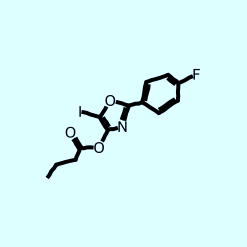 CCCC(=O)Oc1nc(-c2ccc(F)cc2)oc1I